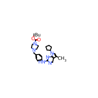 Cc1cn(C2CCCC2)c2nc(Nc3ccc(CN4CCN(C(=O)OC(C)(C)C)CC4)cc3)ncc12